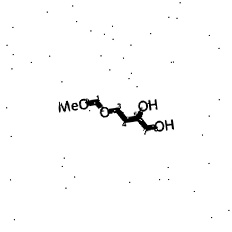 COCOCCC(O)CO